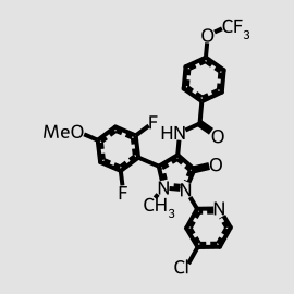 COc1cc(F)c(-c2c(NC(=O)c3ccc(OC(F)(F)F)cc3)c(=O)n(-c3cc(Cl)ccn3)n2C)c(F)c1